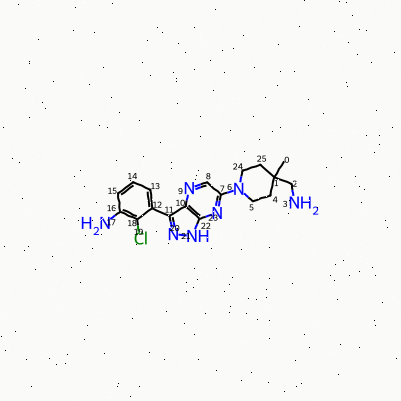 CC1(CN)CCN(c2cnc3c(-c4cccc(N)c4Cl)n[nH]c3n2)CC1